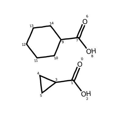 O=C(O)C1CC1.O=C(O)C1CCCCC1